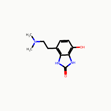 CN(C)CCc1ccc(O)c2[nH]c(=O)[nH]c12